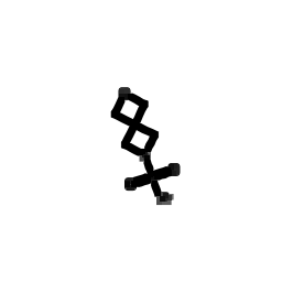 CC(C)S(=O)(=O)N1CC2(COC2)C1